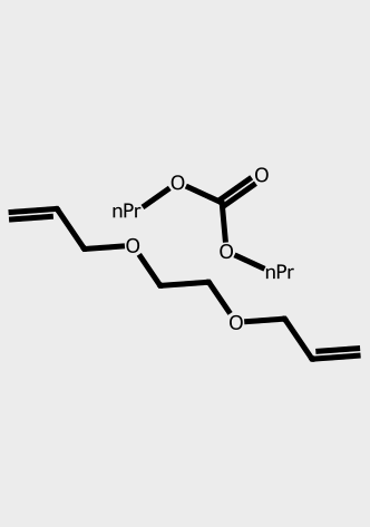 C=CCOCCOCC=C.CCCOC(=O)OCCC